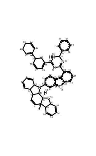 CC12C=CC3C4C=CC=CC4N(c4ccc5c(c4)oc4cccc(C6=NC(c7ccccc7)NC(C7=CC=CC(C8=CCCC=C8)C7)=N6)c45)C3[C@H]1SC1C=CC=CC12